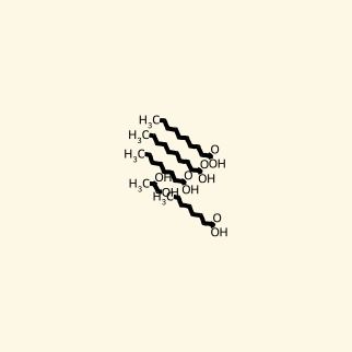 CC(O)CO.CCCCCCCC(=O)O.CCCCCCCC(=O)O.CCCCCCCCCC(=O)O.CCCCCCCCCC(=O)O